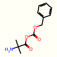 CC(C)(N)C(=O)OC(=O)OCc1ccccc1